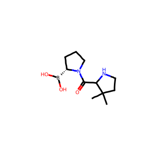 CC1(C)CCNC1C(=O)N1CCC[C@H]1B(O)O